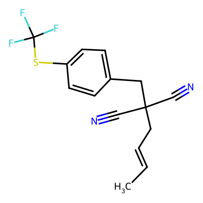 C/C=C/CC(C#N)(C#N)Cc1ccc(SC(F)(F)F)cc1